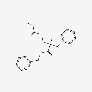 CC(C)(C)OC(=O)NC[C@](O)(Cc1ccccc1)C(=O)NCc1ccccn1